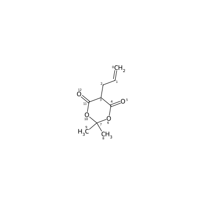 C=CCC1C(=O)OC(C)(C)OC1=O